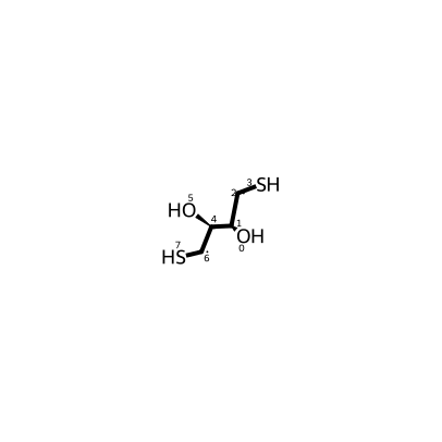 O[C@H]([CH]S)[C@H](O)[CH]S